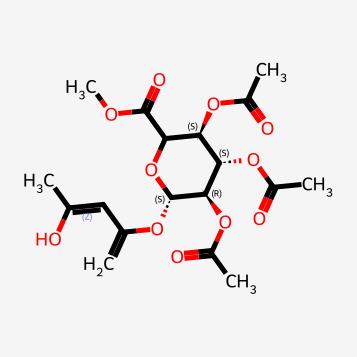 C=C(/C=C(/C)O)O[C@@H]1OC(C(=O)OC)[C@@H](OC(C)=O)[C@H](OC(C)=O)[C@H]1OC(C)=O